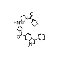 Cn1cc(-c2ccccc2)c2ccc(C(=O)N3CC(N[C@H]4CCN(C(=O)c5cscn5)C4)C3)cc21